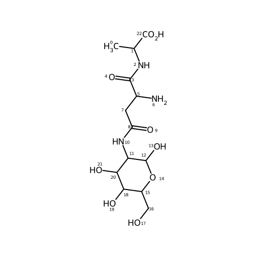 CC(NC(=O)C(N)CC(=O)NC1C(O)OC(CO)C(O)C1O)C(=O)O